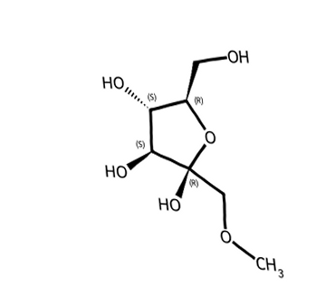 COC[C@@]1(O)O[C@H](CO)[C@@H](O)[C@@H]1O